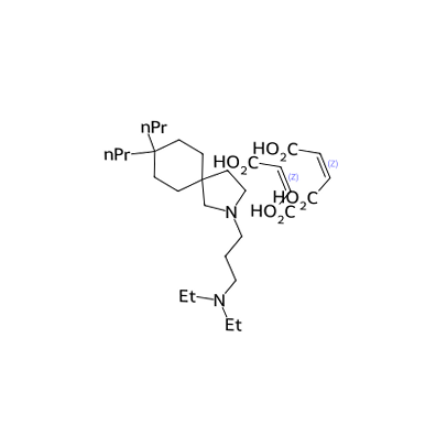 CCCC1(CCC)CCC2(CCN(CCCN(CC)CC)C2)CC1.O=C(O)/C=C\C(=O)O.O=C(O)/C=C\C(=O)O